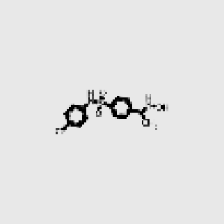 CC(NO)c1ccc(S(=O)(=O)Nc2ccc(Cl)cc2)cc1